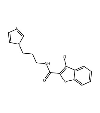 O=C(NCCCn1ccnc1)c1sc2ccccc2c1Cl